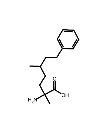 CC(CCc1ccccc1)CCC(C)(N)C(=O)O